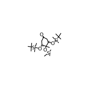 CC1(O[Si](C)(C)C)[C@H](O[Si](C)(C)C(C)(C)C)CC(=O)C[C@H]1O[Si](C)(C)C(C)(C)C